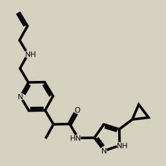 C=CCNCc1ccc(C(C)C(=O)Nc2cc(C3CC3)[nH]n2)cn1